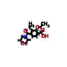 CCOc1c(C(=O)O)ccc(C(=O)N2CCOCC2)c1C